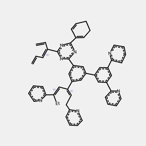 C=C/C=C(\C=C)c1nc(C2=CCCC=C2)nc(-c2cc(C(=C/Cc3ccccn3)/C=C(\CC)c3ccccn3)cc(-c3cc(-c4ccccn4)cc(-c4ccccn4)c3)c2)n1